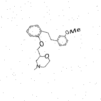 COc1cccc(CCc2ccccc2OCC2CN(C)CCO2)c1